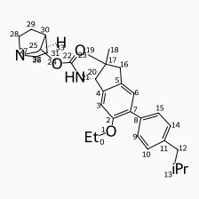 CCOc1cc2c(cc1-c1ccc(CC(C)C)cc1)CC(C)(C)[C@H]2NC(=O)O[C@H]1CN2CCC1CC2